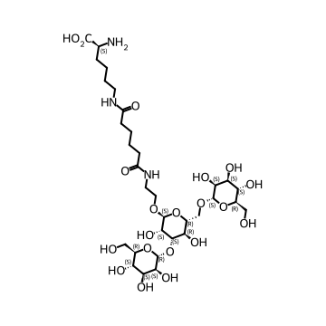 N[C@@H](CCCCNC(=O)CCCCC(=O)NCCO[C@H]1O[C@H](CO[C@H]2O[C@H](CO)[C@@H](O)[C@H](O)[C@@H]2O)[C@@H](O)[C@H](O[C@H]2O[C@H](CO)[C@@H](O)[C@H](O)[C@@H]2O)[C@@H]1O)C(=O)O